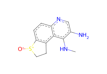 CNc1c(N)cnc2ccc3c(c12)CC[S+]3[O-]